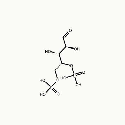 O=C[C@@H](O)[C@@H](O)[C@@H](COP(=O)(O)O)OP(=O)(O)O